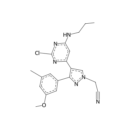 CCCNc1cc(-c2cn(CC#N)nc2-c2cc(C)cc(OC)c2)nc(Cl)n1